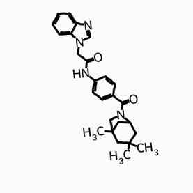 CC1(C)CC2CC(C)(CN2C(=O)c2ccc(NC(=O)Cn3cnc4ccccc43)cc2)C1